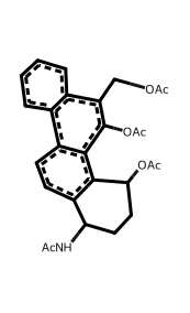 CC(=O)NC1CCC(OC(C)=O)c2c1ccc1c2c(OC(C)=O)c(COC(C)=O)c2ccccc21